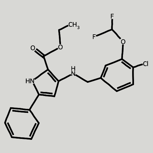 CCOC(=O)c1[nH]c(-c2ccccc2)cc1NCc1ccc(Cl)c(OC(F)F)c1